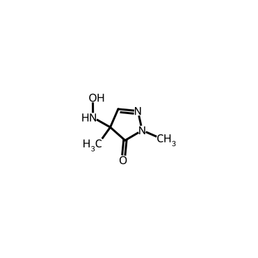 CN1N=CC(C)(NO)C1=O